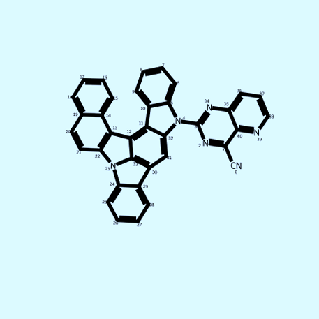 N#Cc1nc(-n2c3ccccc3c3c4c5c6ccccc6ccc5n5c6ccccc6c(cc32)c45)nc2cccnc12